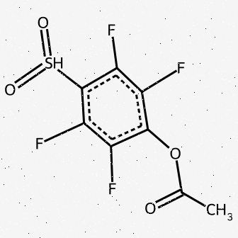 CC(=O)Oc1c(F)c(F)c([SH](=O)=O)c(F)c1F